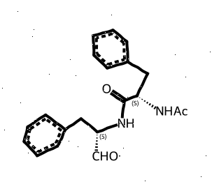 CC(=O)N[C@@H](Cc1ccccc1)C(=O)N[C@H]([C]=O)Cc1ccccc1